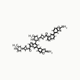 C[C@@H]1CN(C2CN(C(=O)c3cnc4c(C5CN(C6CN(C(=O)c7cnc8ccc(-c9ccc%10oc(N)nc%10c9)cn78)C6)C[C@H](C)N5)cc(-c5ccc6oc(N)nc6c5)cn34)C2)CCN1